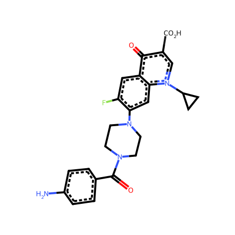 Nc1ccc(C(=O)N2CCN(c3cc4c(cc3F)c(=O)c(C(=O)O)cn4C3CC3)CC2)cc1